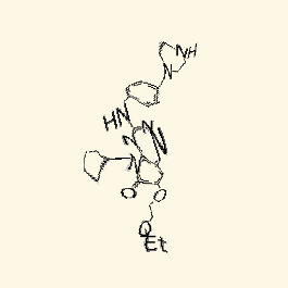 CCOCCOc1cc2nnc(Nc3ccc(N4CCNCC4)cc3)nc2n(C2CCCC2)c1=O